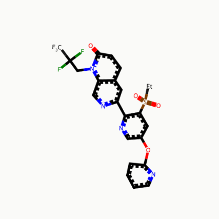 CCS(=O)(=O)c1cc(Oc2ccccn2)cnc1-c1cc2ccc(=O)n(CC(F)(F)C(F)(F)F)c2cn1